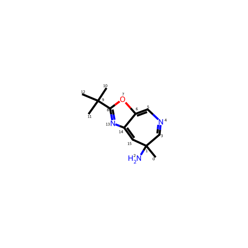 CC1(N)C=NC=c2oc(C(C)(C)C)nc2=C1